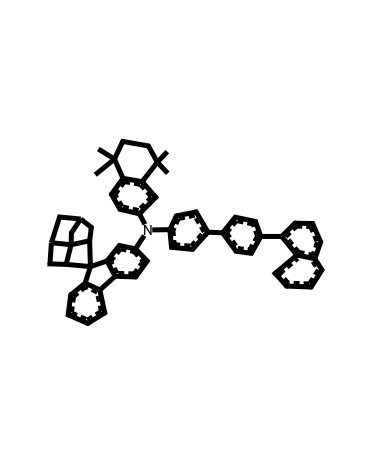 CC1(C)CCC(C)(C)c2cc(N(c3ccc(-c4ccc(-c5cccc6ccccc56)cc4)cc3)c3ccc4c(c3)C3(c5ccccc5-4)C4CC5CC6CC3C64C5)ccc21